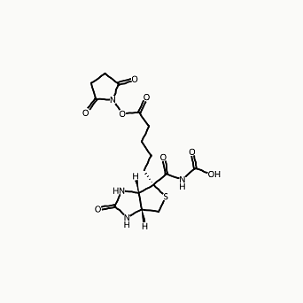 O=C(O)NC(=O)[C@@]1(CCCCC(=O)ON2C(=O)CCC2=O)SC[C@@H]2NC(=O)N[C@@H]21